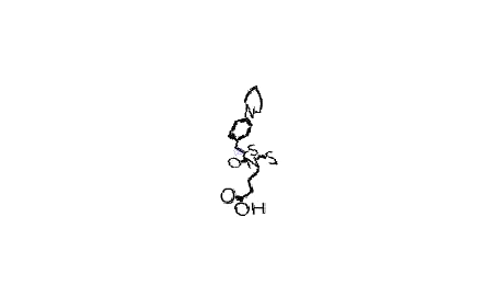 O=C(O)CCCN1C(=O)/C(=C/c2ccc(N3CCCCC3)cc2)SC1=S